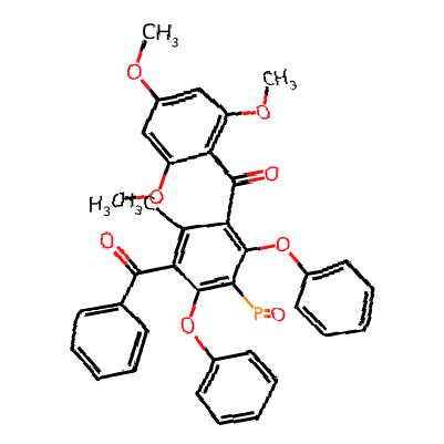 COc1cc(OC)c(C(=O)c2c(C)c(C(=O)c3ccccc3)c(Oc3ccccc3)c(P=O)c2Oc2ccccc2)c(OC)c1